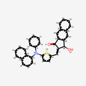 O=C1/C(=C\c2ccc(N(c3ccccc3)c3cccc4ccccc34)s2)C(O)c2cc3ccccc3cc21